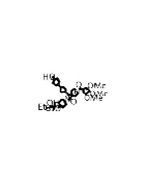 CCOC(O)C(C)(C)Oc1ccc(N2C(=O)C3(CCN(C(=O)c4cc(OC)c(OC)c(OC)c4)CC3)C2c2ccc(-c3ccc(O)cc3)cc2)cc1